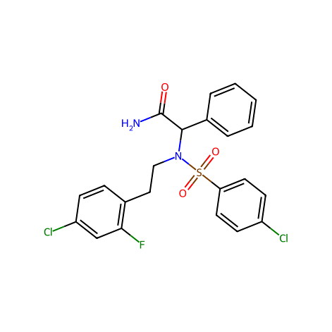 NC(=O)C(c1ccccc1)N(CCc1ccc(Cl)cc1F)S(=O)(=O)c1ccc(Cl)cc1